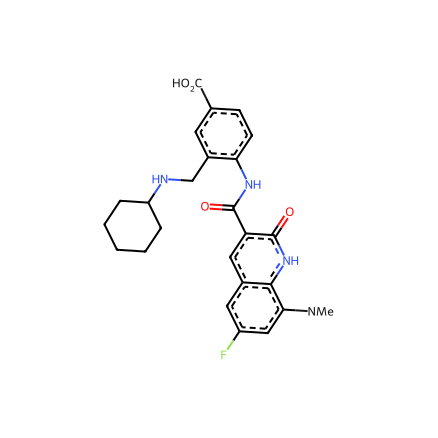 CNc1cc(F)cc2cc(C(=O)Nc3ccc(C(=O)O)cc3CNC3CCCCC3)c(=O)[nH]c12